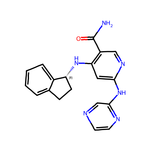 NC(=O)c1cnc(Nc2cnccn2)cc1N[C@@H]1CCc2ccccc21